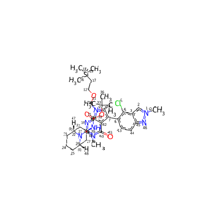 Cn1cc2c(Cl)c(-c3cn(COCC[Si](C)(C)C)c4nc(N5[C@@H]6CCC[C@H]5C[C@H](NC(=O)OC(C)(C)C)C6)n(C)c(=O)c34)ccc2n1